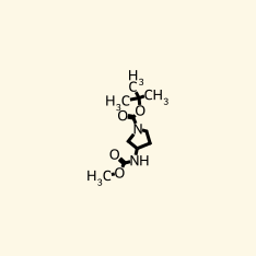 COC(=O)NC1CCN(C(=O)OC(C)(C)C)C1